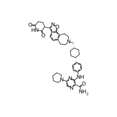 NC(=O)c1ncc(N2CCCCC2)nc1Nc1ccc([C@H]2CC[C@@H](CN3CCc4ccc5c(C6CCC(=O)NC6=O)noc5c4CC3)CC2)cc1